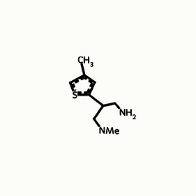 CNCC(CN)c1cc(C)cs1